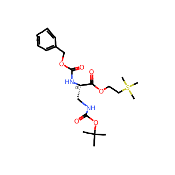 CC(C)(C)OC(=O)NC[C@H](NC(=O)OCc1ccccc1)C(=O)OCCS(C)(C)C